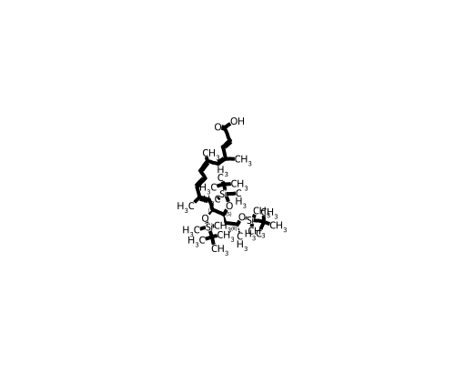 CC(=CC=CC(C)=C[C@H](O[Si](C)(C)C(C)(C)C)[C@H](C[C@@H](C)O[Si](C)(C)C(C)(C)C)O[Si](C)(C)C(C)(C)C)C=C(C)C=CC(=O)O